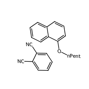 CCCCCOc1cccc2ccccc12.N#Cc1ccccc1C#N